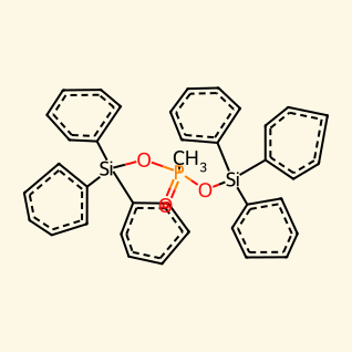 CP(=O)(O[Si](c1ccccc1)(c1ccccc1)c1ccccc1)O[Si](c1ccccc1)(c1ccccc1)c1ccccc1